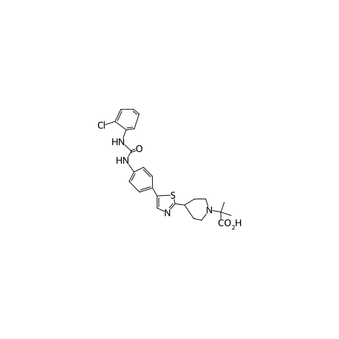 CC(C)(C(=O)O)N1CCC(c2ncc(-c3ccc(NC(=O)Nc4ccccc4Cl)cc3)s2)CC1